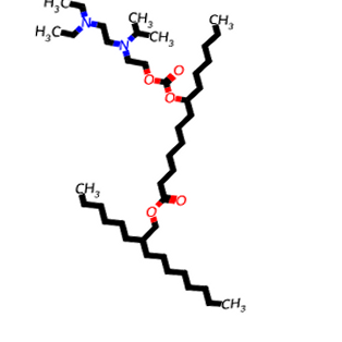 CCCCCCCCC(CCCCCC)COC(=O)CCCCCCC(CCCCCC)OC(=O)OCCN(CCN(CC)CC)C(C)C